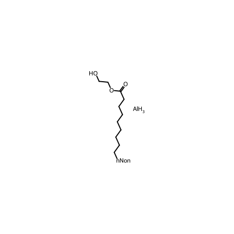 CCCCCCCCCCCCCCCCCC(=O)OCCO.[AlH3]